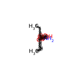 CCCC/C=C\CCCCCCCC(=O)O[C@H](COC(=O)CCCCCCC/C=C\C/C=C\CCCCC)COP(=O)(O)OC[C@H](N)C(=O)O